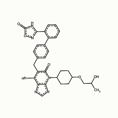 CCCc1c(Cc2ccc(-c3ccccc3-c3noc(=O)[nH]3)cc2)c(=O)n(C2CCC(OCC(C)O)CC2)c2ncnn12